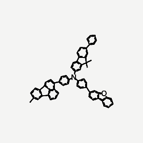 Cc1ccc2c(c1)-c1cccc3c(-c4ccc(N(c5ccc(-c6ccc7c(c6)oc6ccccc67)cc5)c5ccc6c(c5)C(C)(C)c5cc(-c7ccccc7)ccc5-6)cc4)ccc-2c13